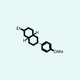 CCC1CC[C@@H]2C[C@H](c3ccc(OC)cc3)CC[C@@H]2C1